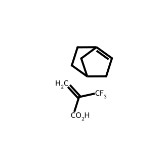 C1=C2CCC(C1)C2.C=C(C(=O)O)C(F)(F)F